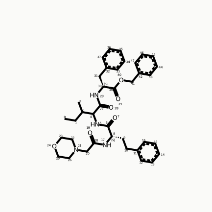 CCC(C)C(NC(=O)[C@H](CCc1ccccc1)NC(=O)CN1CCOCC1)C(=O)N[C@@H](Cc1ccccc1)C(=O)OCc1ccccc1